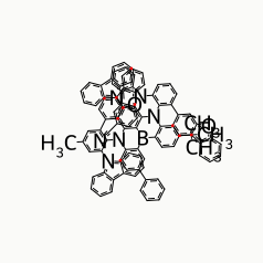 Cc1cc(-c2ccc3c(c2)oc2ccccc23)c(N2c3ccc(-c4ccccc4)cc3B3c4ccc(C(C)(C)C)cc4N(c4c(-c5ccc6c(c5)oc5ccccc56)cccc4-n4c5ccccc5c5cc(C#N)ccc54)c4cc(-n5c6ccccc6c6ccccc65)cc2c43)c(-n2c3ccccc3c3ccccc32)c1